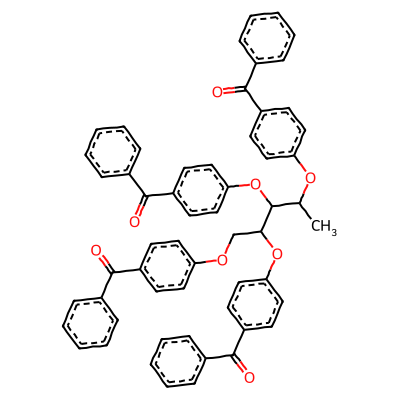 CC(Oc1ccc(C(=O)c2ccccc2)cc1)C(Oc1ccc(C(=O)c2ccccc2)cc1)C(COc1ccc(C(=O)c2ccccc2)cc1)Oc1ccc(C(=O)c2ccccc2)cc1